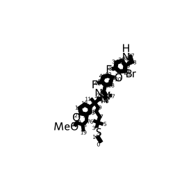 C=CSCC(C)(C)CCCC(C)(c1cccc(CC(C)C(=O)OC)c1)c1nc(-c2cc(Oc3c(F)cc4[nH]ccc4c3Br)ccc2F)n(C)n1